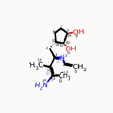 C=C/N=C(C[C@@H]1CC[C@@H](O)[C@H]1O)\C(C)=C(/C)N